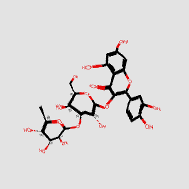 C[C@H]1OC(O[C@H]2[C@@H](O)[C@@H](CO)OC(Oc3c(-c4ccc(O)c(O)c4)oc4cc(O)cc(O)c4c3=O)[C@@H]2O)[C@@H](O)[C@@H](O)[C@@H]1O